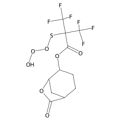 O=C1OC2CC1CCC2OC(=O)C(SOOO)(C(F)(F)F)C(F)(F)F